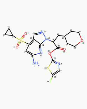 Nc1cc(S(=O)(=O)C2CC2)c2cnn(C(CC3CCOCC3)C(=O)Oc3ncc(F)s3)c2n1